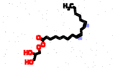 CCCCC/C=C\C/C=C\CCCCCCCC(=O)OOCC(O)CO